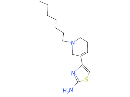 CCCCCCCN1CCC=C(c2csc(N)n2)C1